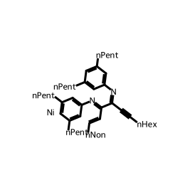 CCCCCCC#CC(=Nc1cc(CCCCC)cc(CCCCC)c1)C(C=CCCCCCCCCC)=Nc1cc(CCCCC)cc(CCCCC)c1.[Ni]